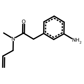 C=CCN(C)C(=O)Cc1cccc(N)c1